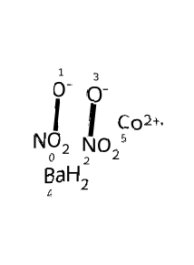 O=[N+]([O-])[O-].O=[N+]([O-])[O-].[BaH2].[Co+2]